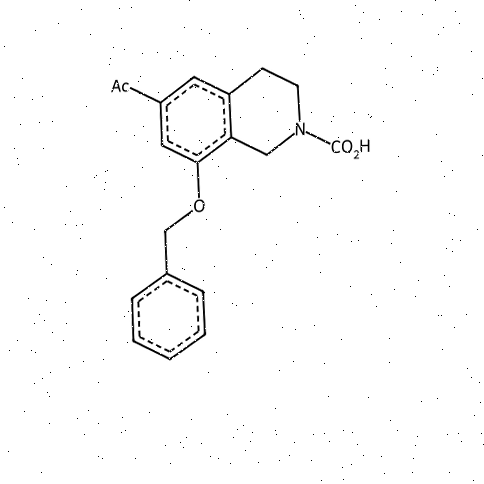 CC(=O)c1cc2c(c(OCc3ccccc3)c1)CN(C(=O)O)CC2